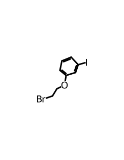 BrCCOc1cccc(I)c1